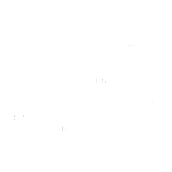 Nc1ccc(C(O)C(CO)NC(=O)CCl)cc1Br